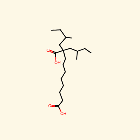 CCC(C)CC(CCCCCCCC(=O)O)(CC(C)CC)C(=O)O